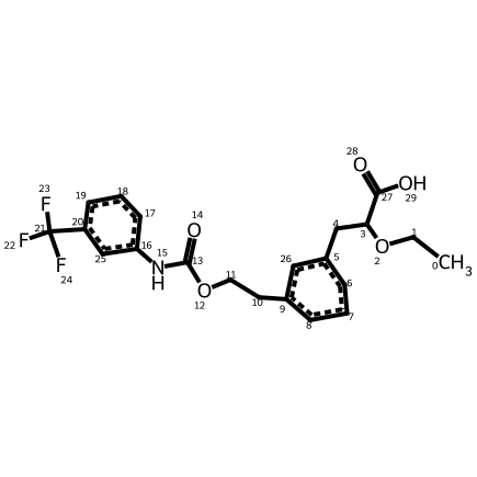 CCOC(Cc1cccc(CCOC(=O)Nc2cccc(C(F)(F)F)c2)c1)C(=O)O